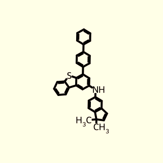 CC1(C)C=Cc2cc(Nc3cc(-c4ccc(-c5ccccc5)cc4)c4sc5ccccc5c4c3)ccc21